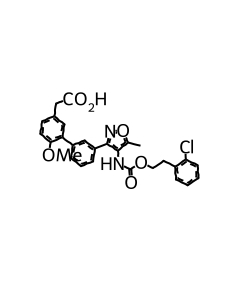 COc1ccc(CC(=O)O)cc1-c1cccc(-c2noc(C)c2NC(=O)OCCc2ccccc2Cl)c1